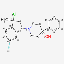 CC(Cl)(CCN1CCC(O)(c2ccccc2)CC1)c1ccc(F)cc1